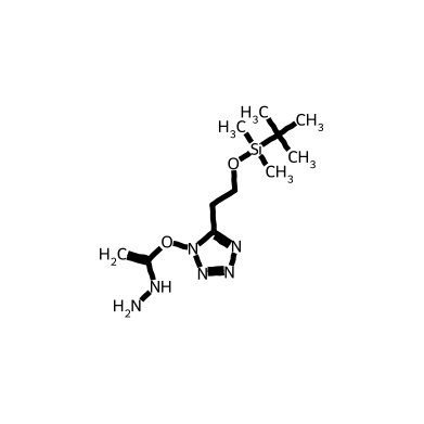 C=C(NN)On1nnnc1CCO[Si](C)(C)C(C)(C)C